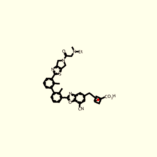 CCN(C)CC(=O)N1Cc2nc(-c3cccc(-c4cccc(-c5nc6cc(CN7CC8(C(=O)O)CC7C8)cc(C#N)c6o5)c4C)c3C)sc2C1